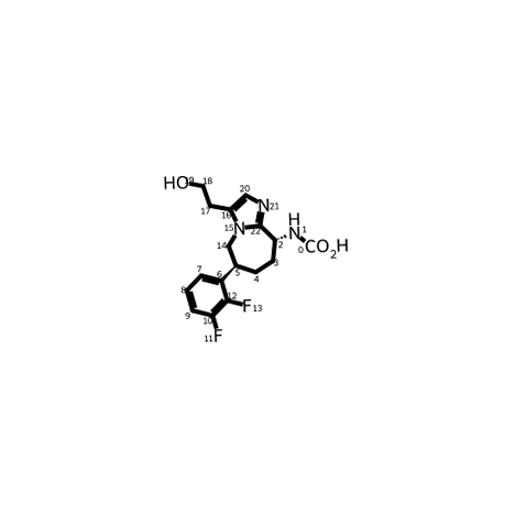 O=C(O)N[C@@H]1CC[C@@H](c2cccc(F)c2F)Cn2c(CCO)cnc21